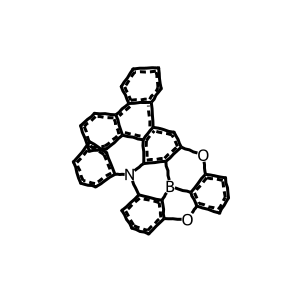 c1ccc(N2c3cccc4c3B3c5c(cccc5Oc5cc6c7ccccc7c7ccccc7c6c2c53)O4)cc1